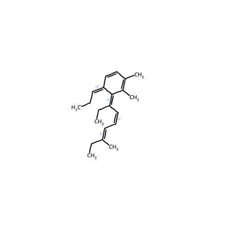 CC/C=c1/ccc(C)c(C)/c1=C(\C=C/C=C(\C)CC)CC